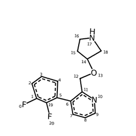 Fc1cccc(-c2cccnc2COC2CCNC2)c1F